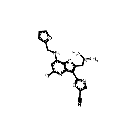 C[C@H](N)Cc1oc2c(NCc3ccco3)cc(Cl)nc2c1-c1ncc(C#N)o1